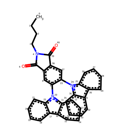 CCCCN1C(=O)c2cc(-n3c4ccccc4c4ccccc43)c(-n3c4ccccc4c4ccccc43)cc2C1=O